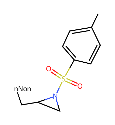 CCCCCCCCCCC1CN1S(=O)(=O)c1ccc(C)cc1